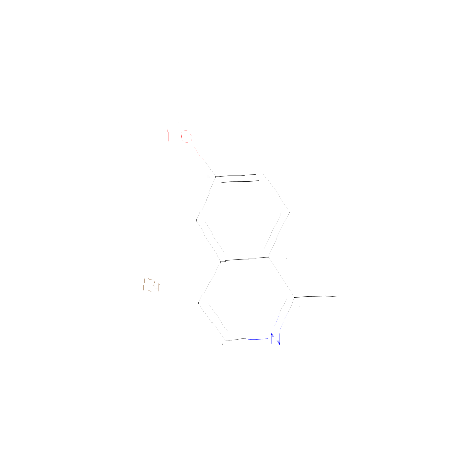 Br.Cc1nccc2cc(O)ccc12